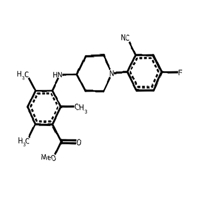 COC(=O)c1c(C)cc(C)c(NC2CCN(c3ccc(F)cc3C#N)CC2)c1C